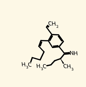 C=Cc1ccc(C(=N)[C@@H](C)CCC)cc1/C=C\CCCC